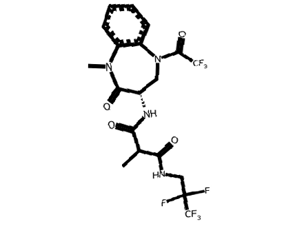 CC(C(=O)NCC(F)(F)C(F)(F)F)C(=O)N[C@H]1CN(C(=O)C(F)(F)F)c2ccccc2N(C)C1=O